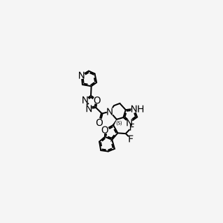 O=C(c1nnc(-c2cccnc2)o1)N1CCc2[nH]cnc2[C@H]1c1oc2ccccc2c1C(F)F